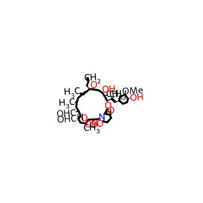 C=CC[C@@H]1/C=C(\C)C[C@H](C)C[C@H](C=O)[C@H]2O[C@@](O)(C(=O)C(=O)N3CCCC[C@H]3C(=O)O[C@H](/C(C)=C/[C@@H]3CC[C@@H](O)[C@H](OC)C3)[C@H](C)[C@@H](O)CC1=O)[C@H](C)C[C@@H]2C=O